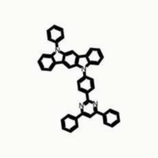 c1ccc(-c2cc(-c3ccccc3)nc(-c3ccc(-n4c5ccccc5c5cc6c(cc54)c4ccccc4n6-c4ccccc4)cc3)n2)cc1